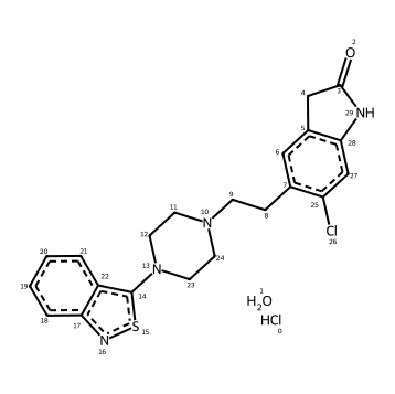 Cl.O.O=C1Cc2cc(CCN3CCN(c4snc5ccccc45)CC3)c(Cl)cc2N1